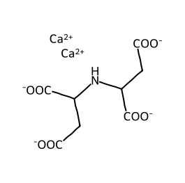 O=C([O-])CC(NC(CC(=O)[O-])C(=O)[O-])C(=O)[O-].[Ca+2].[Ca+2]